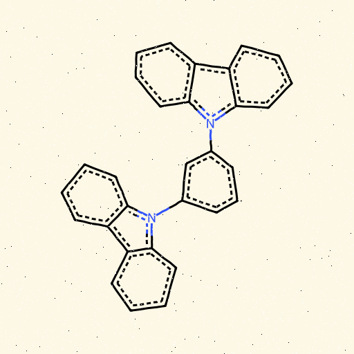 [c]1cc(-n2c3ccccc3c3ccccc32)cc(-n2c3ccccc3c3ccccc32)c1